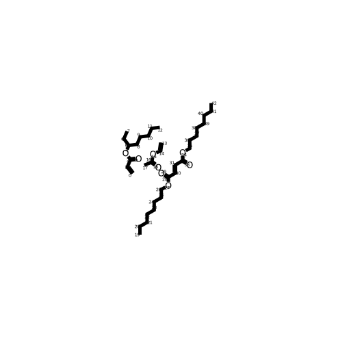 C=CC(=O)OC(CC)CCCCC.C=COC(C)=O.CCCCCCCCOC(=O)C=CC(=O)OCCCCCCCC